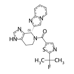 CC(C)(F)c1ncc(C(=O)N2CCc3[nH]cnc3[C@@H]2c2cn3ccccc3n2)s1